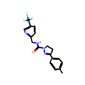 Cc1ccc(C2=NN(C(=O)NCc3ccc(C(F)(F)F)cn3)CC2)cc1